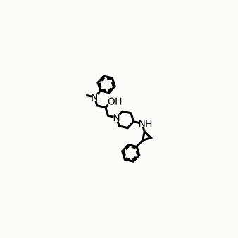 CN(CC(O)CN1CCC(NC2CC2c2ccccc2)CC1)c1ccccc1